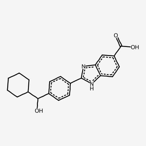 O=C(O)c1ccc2[nH]c(-c3ccc(C(O)C4CCCCC4)cc3)nc2c1